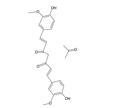 CC(C)=O.COc1cc(C=CC(=O)CC(=O)C=Cc2ccc(O)c(OC)c2)ccc1O